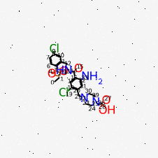 CCS(=O)(=O)c1ccc(Cl)cc1CNC(=O)c1cc(Cl)c(CN2CCN(C(=O)O)CC2)cc1N